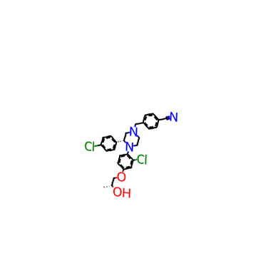 C[C@@H](O)COc1ccc(N2CCN(Cc3ccc(C#N)cc3)C[C@H]2c2ccc(Cl)cc2)c(Cl)c1